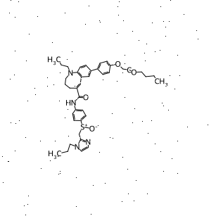 CCCCOCCOc1ccc(-c2ccc3c(c2)/C=C(/C(=O)Nc2ccc([S+]([O-])Cc4nccn4CCC)cc2)CCCN3CCC)cc1